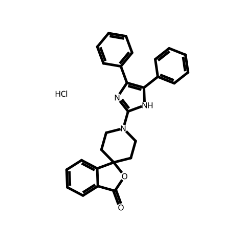 Cl.O=C1OC2(CCN(c3nc(-c4ccccc4)c(-c4ccccc4)[nH]3)CC2)c2ccccc21